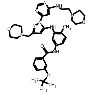 Cc1ccc(NC(=O)c2cccc(OC(C)(C)C)c2)cc1Nc1cc(CN2CCOCC2)nn1-c1cc(NCCN2CCOCC2)ncn1